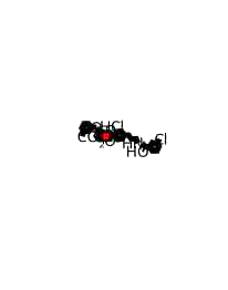 CCOC(=O)c1cccc(Oc2cccc(S(=O)(=O)c3ccc(CCCNC[C@H](O)c4cccc(Cl)c4)cc3)c2)c1.Cl